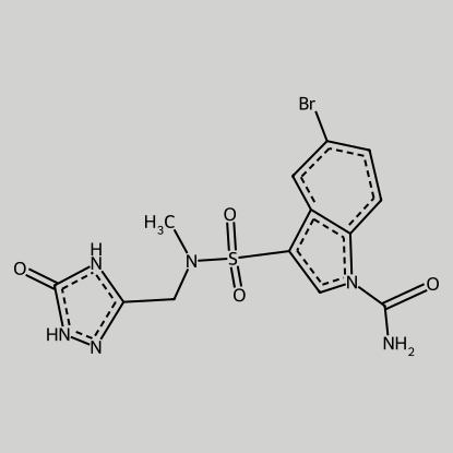 CN(Cc1n[nH]c(=O)[nH]1)S(=O)(=O)c1cn(C(N)=O)c2ccc(Br)cc12